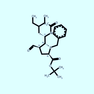 CCC(CC)C[C@H](NC(C)=O)[C@H]1[C@H](C=O)C[C@H](C(=O)OC(C)(C)C)N1Cc1ccccc1